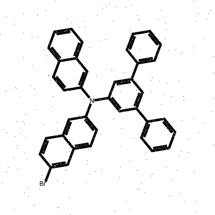 Brc1ccc2cc(N(c3cc(-c4ccccc4)cc(-c4ccccc4)c3)c3ccc4ccccc4c3)ccc2c1